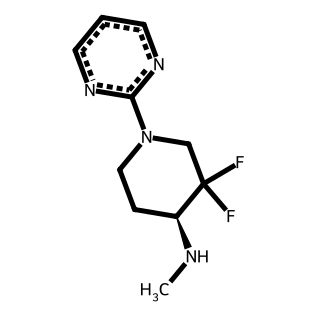 CN[C@H]1CCN(c2ncccn2)CC1(F)F